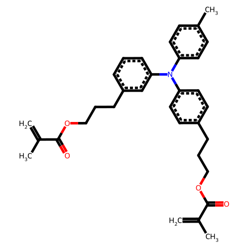 C=C(C)C(=O)OCCCc1ccc(N(c2ccc(C)cc2)c2cccc(CCCOC(=O)C(=C)C)c2)cc1